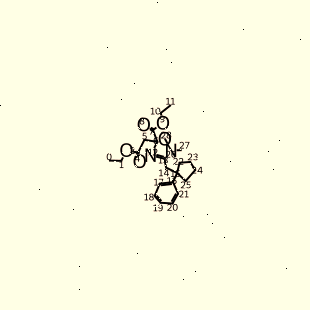 CCOC(=O)CC1(C(=O)OCC)N=C(CC2(c3ccccc3)CCCC2)N(C)O1